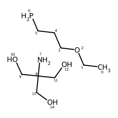 CCOCCCP.NC(CO)(CO)CO